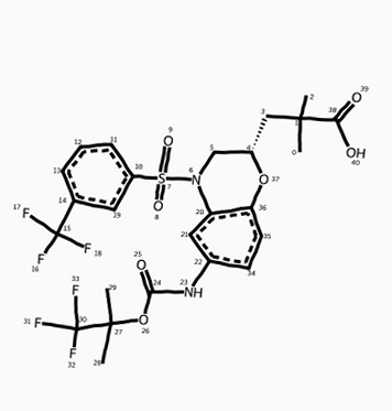 CC(C)(C[C@H]1CN(S(=O)(=O)c2cccc(C(F)(F)F)c2)c2cc(NC(=O)OC(C)(C)C(F)(F)F)ccc2O1)C(=O)O